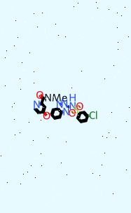 CNC(=O)c1cc(Oc2ccc3nc(NS(=O)(=O)c4cccc(Cl)c4)nnc3c2)ccn1